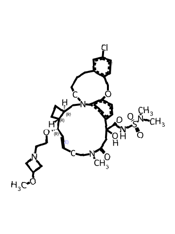 COC1CN(CCO[C@H]2/C=C/CCN(C)C(=O)CC(O)(C(=O)NS(=O)(=O)N(C)C)c3ccc4c(c3)N(CCCCc3cc(Cl)ccc3CO4)C[C@@H]3CC[C@H]32)C1